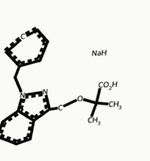 CC(C)(OCc1nn(Cc2ccccc2)c2ccccc12)C(=O)O.[NaH]